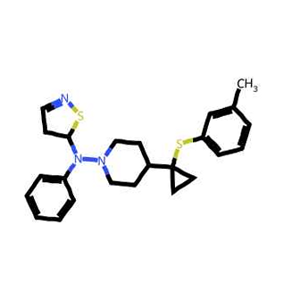 Cc1cccc(SC2(C3CCN(N(c4ccccc4)C4CC=NS4)CC3)CC2)c1